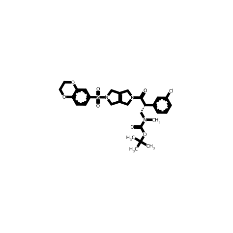 CN(C[C@H](C(=O)N1CC2=C(C1)CN(S(=O)(=O)c1ccc3c(c1)OCCO3)C2)c1cccc(Cl)c1)C(=O)OC(C)(C)C